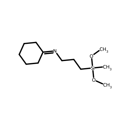 CO[Si](C)(CCCN=C1CCCCC1)OC